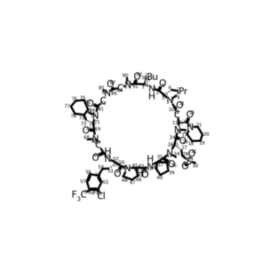 CC[C@H](C)[C@@H]1NC(=O)[C@H](CC(C)C)N(C)C(=O)C[C@@H](C(=O)N2CCCCC2)N(C)C(=O)[C@H](CCS(C)(=O)=O)N(C)C(=O)C2(CCCC2)NC(=O)[C@@H]2CCCN2C(=O)[C@H](CCc2ccc(C(F)(F)F)c(Cl)c2)NC(=O)CN(C)C(=O)[C@H](CC2CCCCC2)N(C)C(=O)CN(C)C(=O)CN(C)C1=O